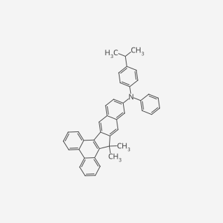 CC(C)c1ccc(N(c2ccccc2)c2ccc3cc4c(cc3c2)C(C)(C)c2c-4c3ccccc3c3ccccc23)cc1